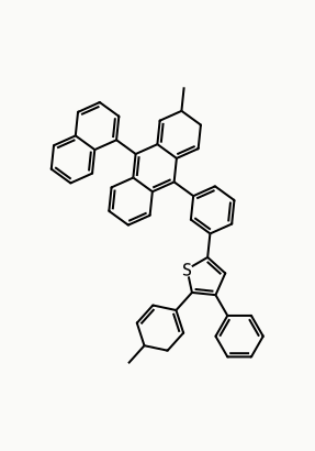 CC1C=CC(c2sc(-c3cccc(-c4c5c(c(-c6cccc7ccccc67)c6ccccc46)=CC(C)CC=5)c3)cc2-c2ccccc2)=CC1